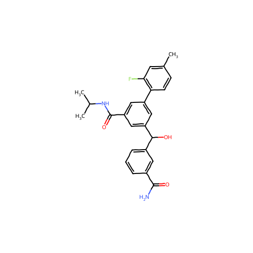 Cc1ccc(-c2cc(C(=O)NC(C)C)cc(C(O)c3cccc(C(N)=O)c3)c2)c(F)c1